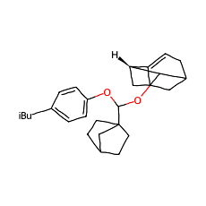 CCC(C)c1ccc(OC(OC2C3CC=C4C(C3)C[C@H]42)C23CCC(CC2)C3)cc1